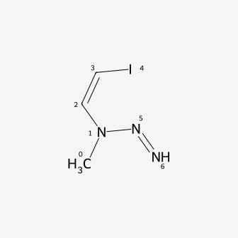 CN(/C=C\I)N=N